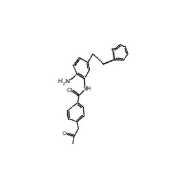 CC(=O)Cc1ccc(C(=O)Nc2cc(CCc3ccccc3)ccc2N)cc1